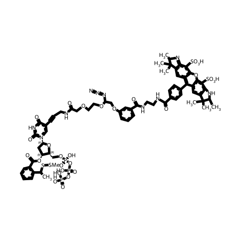 CSSC(C)c1ccccc1C(=O)O[C@@H]1C[C@H](n2cc(C#CCNC(=O)COCCOC(COc3cccc(C(=O)NCCNC(=O)c4ccc(C5=c6cc7c(c(S(=O)(=O)O)c6Oc6c5cc5c(c6S(=O)(=O)O)NC(C)C5(C)C)=NC(C)C7(C)C)cc4)c3)N=[N+]=[N-])c(=O)[nH]c2=O)O[C@@H]1COP(=O)(O)OP(=O)(O)OP(=O)(O)O